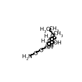 CC(C)CCC[C@@H](C)[C@H]1CCC2C3C(CC[C@@]21C)[C@@]1(C)CC[C@H](NCCCOCCCOCCCN)C[C@@H]1C[C@@H]3O